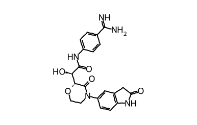 N=C(N)c1ccc(NC(=O)[C@H](O)[C@H]2OCCN(c3ccc4c(c3)CC(=O)N4)C2=O)cc1